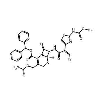 CC/C=C(\C(=O)N[C@@H]1C(=O)N2C(C(=O)OC(c3ccccc3)c3ccccc3)=C(COC(N)=O)CS[C@H]12)c1csc(NC(=O)OC(C)(C)C)n1